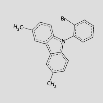 Cc1ccc2c(c1)c1cc(C)ccc1n2-c1ccccc1Br